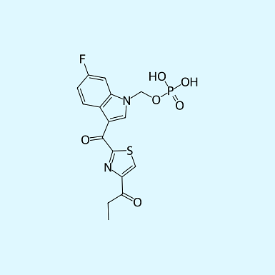 CCC(=O)c1csc(C(=O)c2cn(COP(=O)(O)O)c3cc(F)ccc23)n1